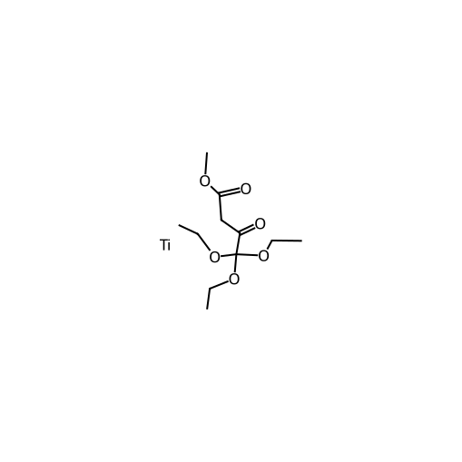 CCOC(OCC)(OCC)C(=O)CC(=O)OC.[Ti]